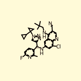 Cc1nc(F)ccc1[C@H](Nc1cc(Cl)c2ncc(C#N)c(NCC(C)(C)C)c2c1)c1cn(C2(C3CC3)CC2)nn1